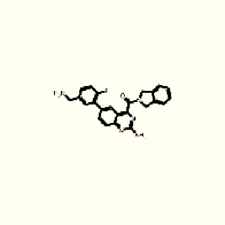 NCc1ccc(F)c(-c2ccc3nc(N)nc(C(=O)N4Cc5ccccc5C4)c3c2)c1